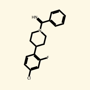 N=C(c1ccccc1)N1CCC(c2ccc(Cl)cc2F)CC1